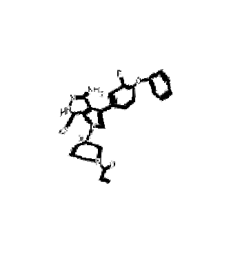 C=CC(=O)N1CCC[C@@H](n2cc(-c3ccc(Oc4ccccc4)c(F)c3)c3c(N)n[nH]c(=O)c32)C1